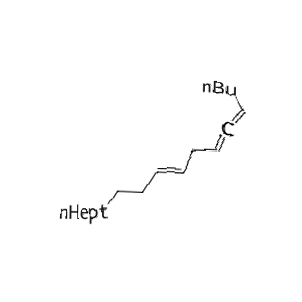 CCCCC=C=CCC=CCCCCCCCCC